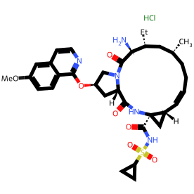 CC[C@@H]1C[C@H](C)CC/C=C\[C@@H]2C[C@@]2(C(=O)NS(=O)(=O)C2CC2)NC(=O)[C@@H]2C[C@@H](Oc3nccc4cc(OC)ccc34)CN2C(=O)[C@H]1N.Cl